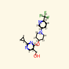 OCc1cnc(C2CC2)nc1OC1CCN(c2ccc(C(F)(F)F)nc2)CC1